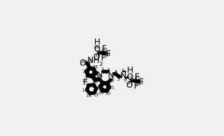 CN(C)CCN1CCn2c(c([C@@H]3CCCC[C@H]3F)c3ccc(C(N)=O)cc32)-c2ccccc2C1.O=C(O)C(F)(F)F.O=C(O)C(F)(F)F